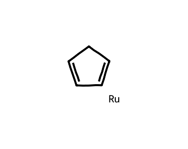 C1=CCC=C1.[Ru]